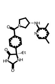 CC[C@]1(c2ccc(C(=O)N3CC[C@H](Nc4ncc(C)cc4C)C3)cc2)NC(=O)NC1=O